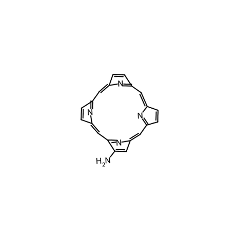 NC1=CC2=CC3=NC(=CC4=NC(=CC5=NC(=CC1=N2)C=C5)C=C4)C=C3